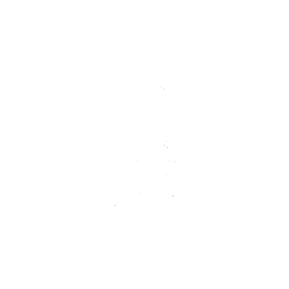 N#Cc1cccc(N2CCC(Cc3ccccc3)C(=O)N2)c1